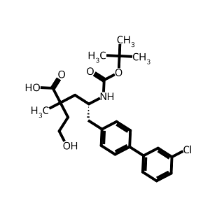 CC(C)(C)OC(=O)N[C@H](Cc1ccc(-c2cccc(Cl)c2)cc1)CC(C)(CCO)C(=O)O